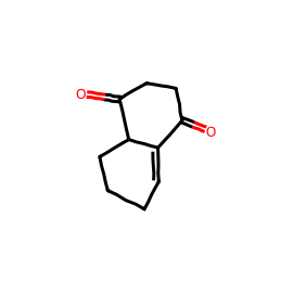 O=C1CCC(=O)C2CCCC=C12